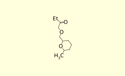 CCC(=O)COCC1CCCC(C)O1